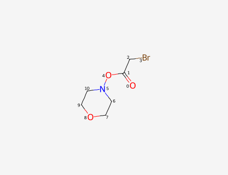 O=C(CBr)ON1CCOCC1